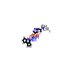 CN(C)C1COc2c(S(=O)(=O)NC(=O)Nc3nc4c(c5c3CCC5)CCC4)cnn2C1